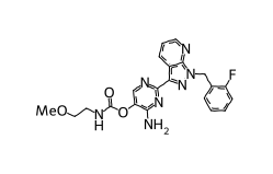 COCCNC(=O)Oc1cnc(-c2nn(Cc3ccccc3F)c3ncccc23)nc1N